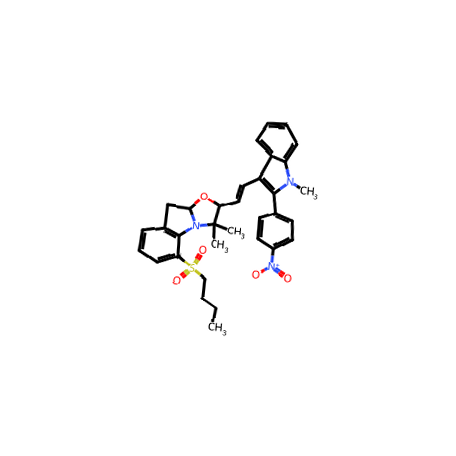 CCCCS(=O)(=O)c1cccc2c1N1C(C2)OC(C=Cc2c(-c3ccc([N+](=O)[O-])cc3)n(C)c3ccccc23)C1(C)C